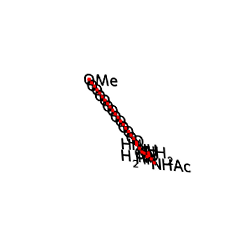 COCCOCCOCCOCCOCCOCCOCCOCCOCCOCCOCCOCCC(=O)NCCNC(=O)c1nc(N)c(C(=O)NCCNC(C)=O)nc1N